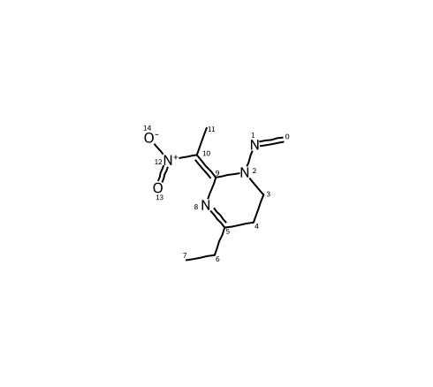 C=NN1CCC(CC)=N/C1=C(/C)[N+](=O)[O-]